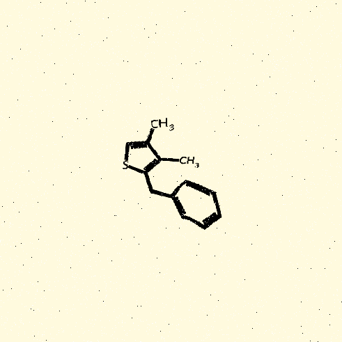 Cc1csc(Cc2ccccc2)c1C